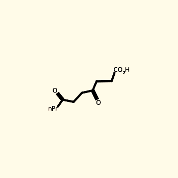 CCCC(=O)CCC(=O)CCC(=O)O